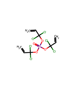 C=CC(Cl)(Cl)OP(=O)(OC(Cl)(Cl)C=C)OC(Cl)(Cl)C=C